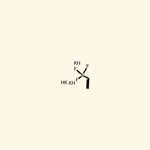 C=C[B-](F)(F)F.[KH].[KH].[KH]